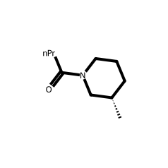 CCCC(=O)N1CCC[C@H](C)C1